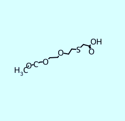 COCCOCCOCCSCC(=O)O